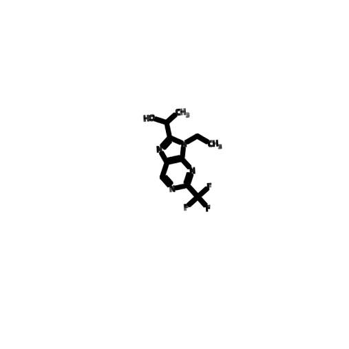 CCn1c(C(C)O)nc2cnc(C(F)(F)F)nc21